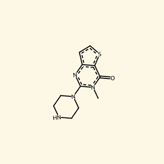 Cn1c(N2CCNCC2)nc2ccsc2c1=O